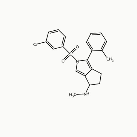 CNC1CCc2c1cn(S(=O)(=O)c1cccc(Cl)c1)c2-c1ccccc1C